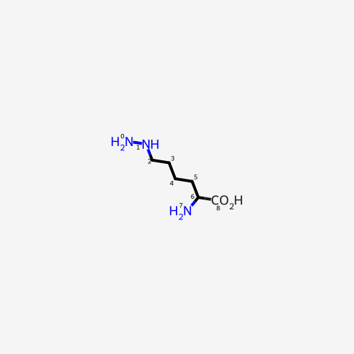 NNCCCCC(N)C(=O)O